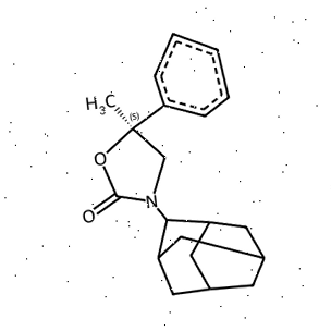 C[C@]1(c2ccccc2)CN(C2C3CC4CC(C3)CC2C4)C(=O)O1